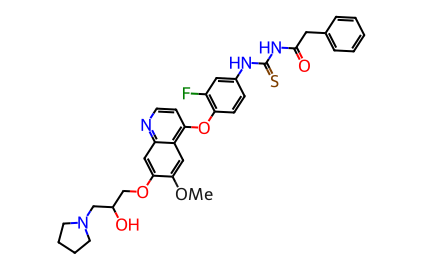 COc1cc2c(Oc3ccc(NC(=S)NC(=O)Cc4ccccc4)cc3F)ccnc2cc1OCC(O)CN1CCCC1